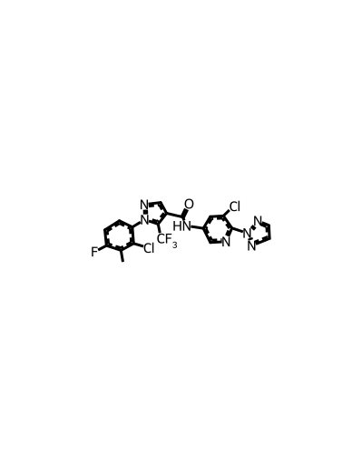 Cc1c(F)ccc(-n2ncc(C(=O)Nc3cnc(-n4nccn4)c(Cl)c3)c2C(F)(F)F)c1Cl